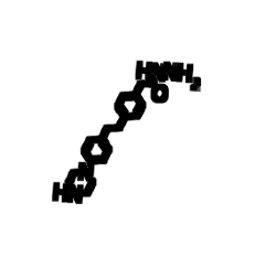 NNC(=O)Cc1ccc(CCc2ccc(N3CCNCC3)cc2)cc1